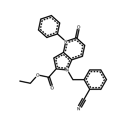 CCOC(=O)c1cc2c(ccc(=O)n2-c2ccccc2)n1Cc1ccccc1C#N